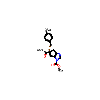 COC(=O)C1(SCc2ccc(OC)cc2)Cc2ncn(C(=O)OC(C)(C)C)c2C1